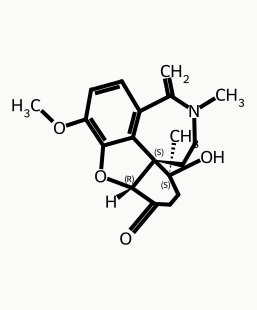 C=C1c2ccc(OC)c3c2[C@@]2(CCN1C)[C@@H](O3)C(=O)CC[C@]2(C)O